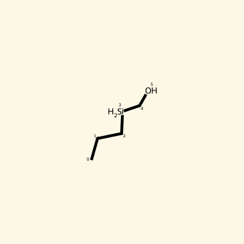 CCC[SiH2]CO